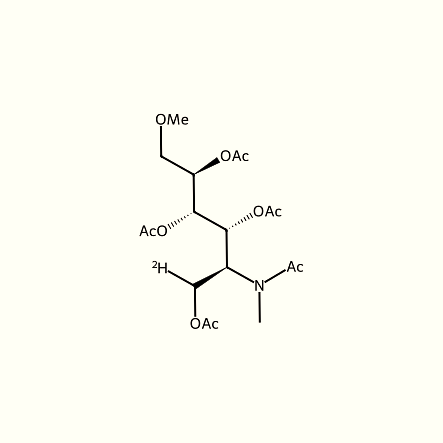 [2H]C(OC(C)=O)[C@@H]([C@@H](OC(C)=O)[C@H](OC(C)=O)[C@@H](COC)OC(C)=O)N(C)C(C)=O